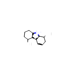 CC1CC=Cc2c1[nH]c1c2C(C)CCC1